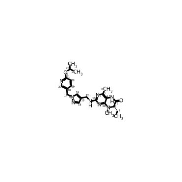 CC[C@H]1C(=O)Nc2c(C)nc(NCc3cnn(Cc4ccc(OC(C)C)nc4)c3)nc2N1C